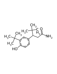 CC(C)(C)c1cc(C(CC(N)=O)C(C)(C)C)ccc1O